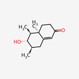 C[C@@H]1CC2=CC(=O)CC[C@]2(C)[C@H](C)[C@H]1O